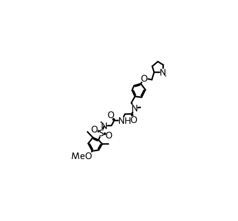 COc1cc(C)c(S(=O)(=O)N(C)CC(=O)NCC(=O)N(C)Cc2ccc(OCC3CCCN3C)cc2)c(C)c1